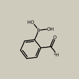 [2H]C(=O)c1ccccc1B(O)O